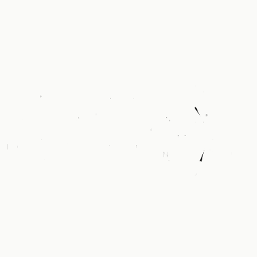 CCOC(=O)c1cc2cc([C@H]3CCOC(C)(C)C3)ccc2n1C1(C#N)[C@@H]2CSC[C@@H]21